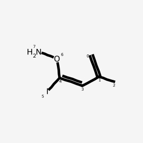 C=C(C)/C=C(/I)ON